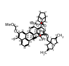 C=C1CN2CC(=C)CC2(COc2nc(N3CC4CCC(C3)N4C(=O)OC(C)(C)C)c3cnc(-c4cc(OCOC)c(F)c5cccc(C#C[Si](C(C)C)(C(C)C)C(C)C)c45)c(F)c3n2)C1